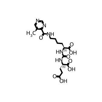 Cc1cncnc1C(=O)NCCCC[C@H](NC(=O)N[C@@H](CCC(=O)O)C(=O)O)C(=O)O